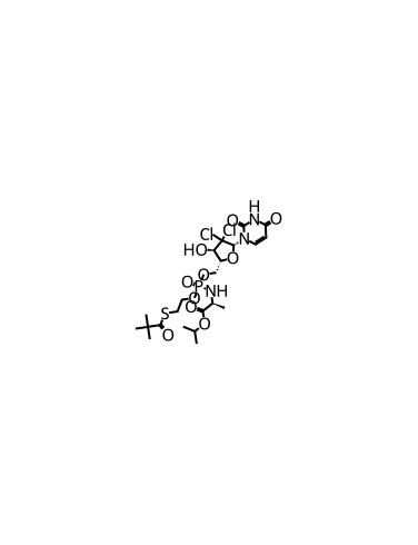 CC(C)OC(=O)[C@H](C)N[P@](=O)(OCCSC(=O)C(C)(C)C)OC[C@H]1O[C@@H](n2ccc(=O)[nH]c2=O)C(Cl)(Cl)[C@@H]1O